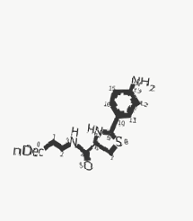 CCCCCCCCCCCCNC(=O)[C@@H]1CSC(c2ccc(N)cc2)N1